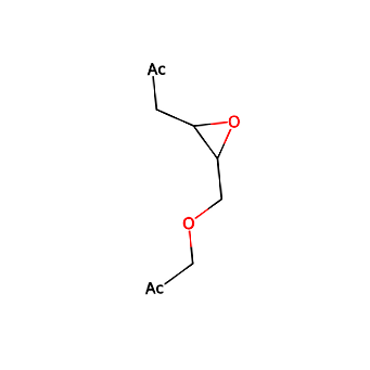 CC(=O)COCC1OC1CC(C)=O